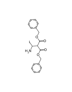 NC(I)C(C(=O)OCc1ccccc1)C(=O)OCc1ccccc1